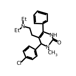 CCN(CC)CCC1=C(c2ccccc2)NC(=O)N(C)C1c1ccc(Cl)cc1